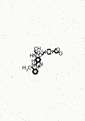 C=CC(=O)Nc1cc2c(NC(C)c3ccccc3)ncnc2cc1OCCN1CCN(C2COC(=O)C2)CC1